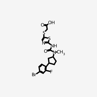 CN(C(=O)Nc1ncc(SCC(=O)O)s1)C1CCC(c2ccc(Br)cc2F)C1